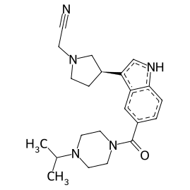 CC(C)N1CCN(C(=O)c2ccc3[nH]cc([C@H]4CCN(CC#N)C4)c3c2)CC1